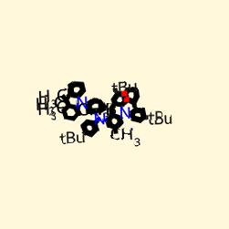 Cc1cc2c3c(c1)N(c1ccc(C(C)(C)C)cc1-c1ccccc1)c1ccc(C(C)(C)C)cc1B3c1ccc(N3c4ccccc4C(C)(C)C4(C)CCCCC34C)cc1N2c1ccc(C(C)(C)C)cc1